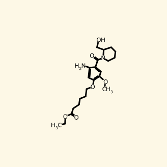 CCOC(=O)CCCCCOc1cc(N)c(C(=O)N2CCCCC2CO)cc1OC